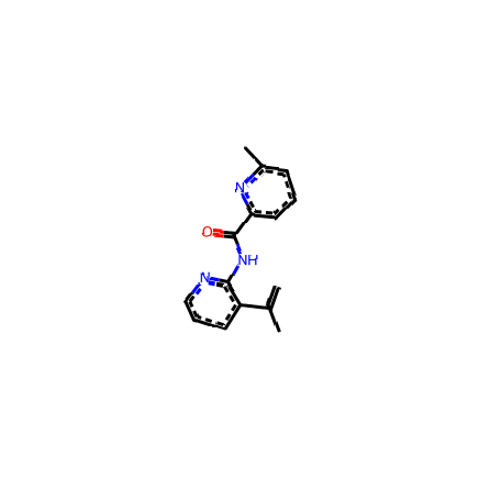 C=C(C)c1cccnc1NC(=O)c1cccc(C)n1